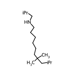 CC(C)CNCCCCCCC(C)(C)CC(C)C